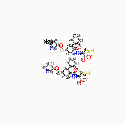 O=C(N[C@@H](CS)C(=O)[O-])c1ccc(COc2cccnc2)cc1-c1ccccc1.O=C(N[C@@H](CS)C(=O)[O-])c1ccc(COc2cccnc2)cc1-c1ccccc1.[Na+].[Na+]